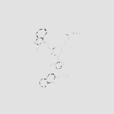 CCc1nc2ccccc2n1CCC(=O)NC(CCCCCC(=O)NC)c1ncc(-c2cc3ccccc3nc2OC)[nH]1